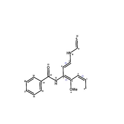 C\C=C/C(OC)=C(\C=C\NC=S)NC(=O)c1ccccc1